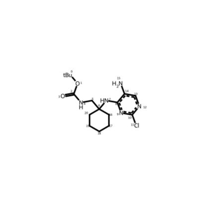 CC(C)(C)OC(=O)NCC1(Nc2nc(Cl)ncc2N)CCCCC1